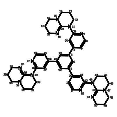 c1cc(-c2cc(-c3ccnc(N4CCCN5CCCN=C54)c3)cc(-c3ccnc(N4CCCN5CCCN=C54)c3)c2)cc(N2CCCN3CCCN=C32)n1